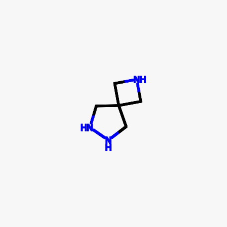 C1NCC12CNNC2